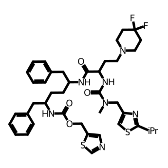 CC(C)c1nc(CN(C)C(=O)NC(CCN2CCC(F)(F)CC2)C(=O)NC(CCC(Cc2ccccc2)NC(=O)OCc2cncs2)Cc2ccccc2)cs1